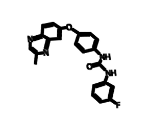 Cc1cnc2ccc(Oc3ccc(NC(=O)Nc4cccc(F)c4)cc3)cc2n1